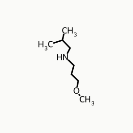 COCCCNCC(C)C